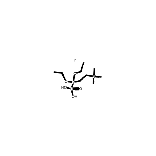 CCOS(CC[N+](C)(C)C)(OCC)P(=O)(O)O.[I-]